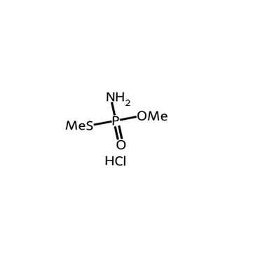 COP(N)(=O)SC.Cl